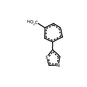 O=C(O)c1cccc(-c2cncs2)c1